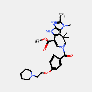 CC(C)OC(=O)C1=CN(C(=O)c2ccc(OCCN3CCCCC3)cc2)CC(C)(C)c2c1[nH]c1nc(C(F)(F)F)n(C)c21